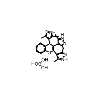 Cc1n[nH]c(C)c1C1=C(c2c(C)n[nH]c2C)C(c2c(C)n[nH]c2C)c2ccccc2O1.OB(O)O